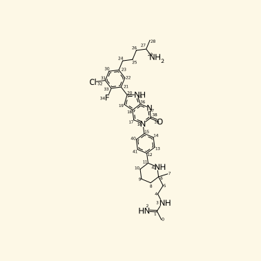 CC(=N)NCCC1(C)CCCC(c2ccc(-n3cc4cc(-c5cc(CCCC(C)N)cc(Cl)c5F)[nH]c4nc3=O)cc2)N1